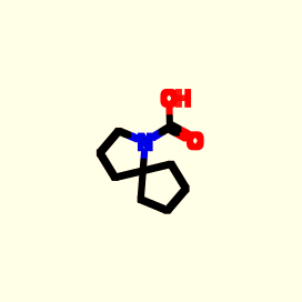 O=C(O)N1CCCC12CCCC2